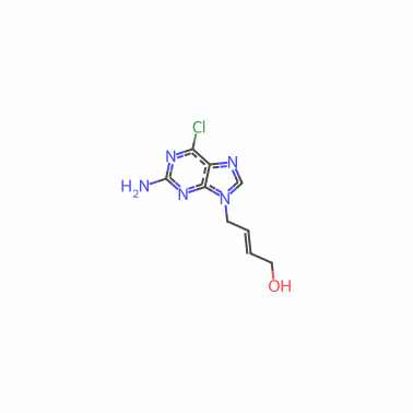 Nc1nc(Cl)c2ncn(CC=CCO)c2n1